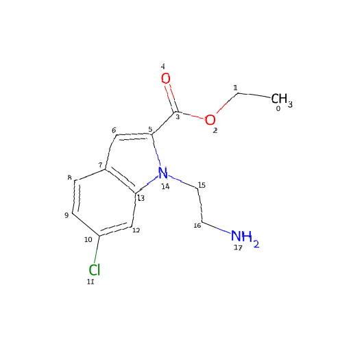 CCOC(=O)c1cc2ccc(Cl)cc2n1CCN